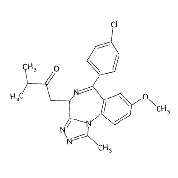 COc1ccc2c(c1)C(c1ccc(Cl)cc1)=NC(CC(=O)C(C)C)c1nnc(C)n1-2